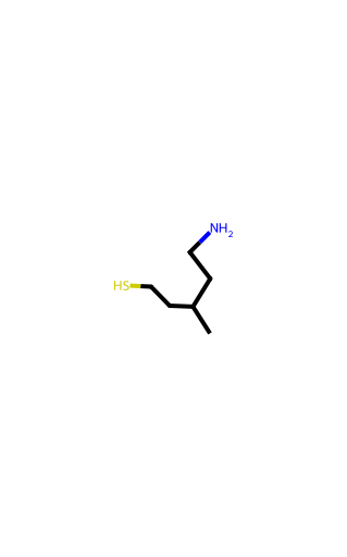 CC(CCN)CCS